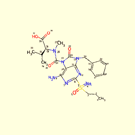 CCCS(=N)(=O)c1nc(N)c2c(n1)n(Cc1ccccc1)c(=O)n2C(=O)N(C)[C@H](C(=O)O)C(C)C